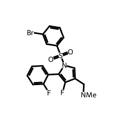 CNCc1cn(S(=O)(=O)c2cccc(Br)c2)c(-c2ccccc2F)c1F